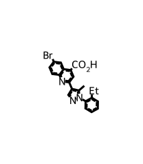 CCc1ccccc1-n1ncc(-c2cc(C(=O)O)c3cc(Br)ccc3n2)c1C